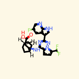 O=C(O)[C@H]1[C@H]2CC[C@H](CC2)[C@@H]1Nc1nc(-c2c[nH]c3ncc(F)cc23)nn2c(C(F)F)ccc12